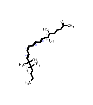 CCCCC(C)(C)C(C)(C)/C=C/C=C\C=C\C=C\[C@@H](O)[C@@H](O)CCCC(C)=O